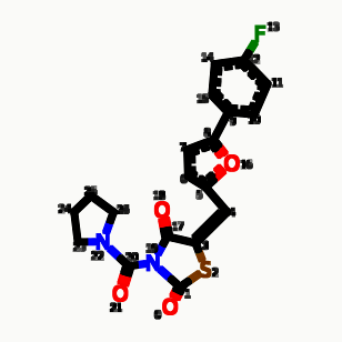 O=C1SC(=Cc2ccc(-c3ccc(F)cc3)o2)C(=O)N1C(=O)N1CCCC1